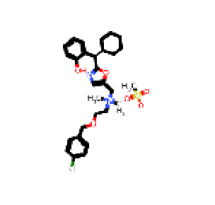 CS(=O)(=O)[O-].C[N+](C)(CCOCc1ccc(Cl)cc1)Cc1cnc([C@@H](c2ccccc2O)C2CCCCC2)o1